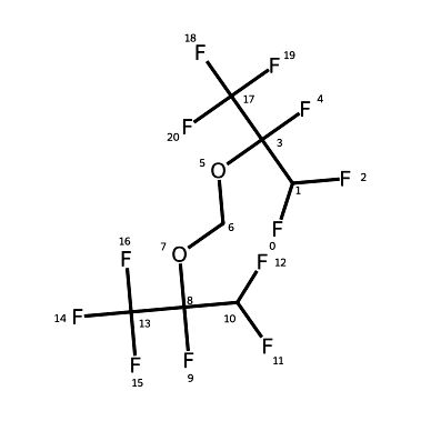 FC(F)C(F)(OCOC(F)(C(F)F)C(F)(F)F)C(F)(F)F